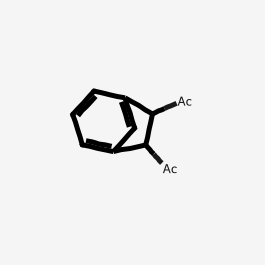 CC(=O)C1c2cccc(c2)C1C(C)=O